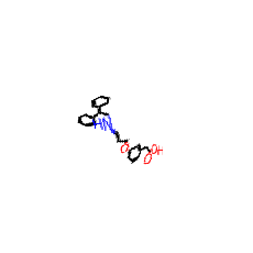 O=C(O)Cc1cccc(OCCCNCC(c2ccccc2)c2ccccc2)c1